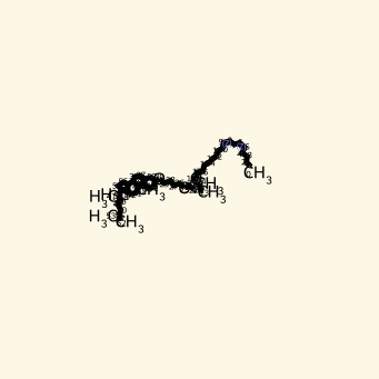 CCCCC/C=C\C/C=C\CCCCCCCCOC[C@H](CN(C)C)OCCCCOC1CCC2(C)C(=CCC3C2CCC2(C)C(C(C)CCCC(C)C)CCC32)C1